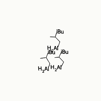 CCC(C)C(C)[CH2][AlH2].CCC(C)C(C)[CH2][AlH2].CCC(C)C(C)[CH2][AlH2]